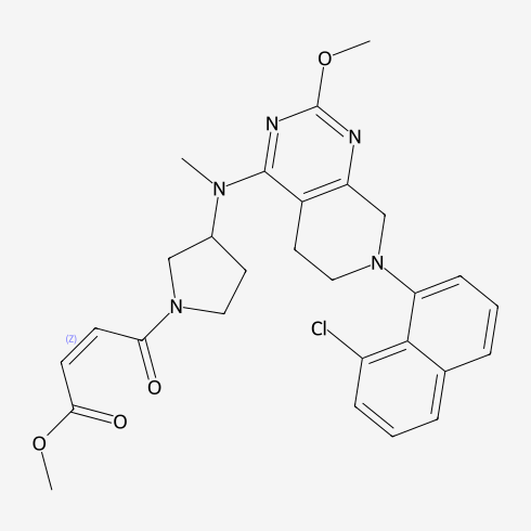 COC(=O)/C=C\C(=O)N1CCC(N(C)c2nc(OC)nc3c2CCN(c2cccc4cccc(Cl)c24)C3)C1